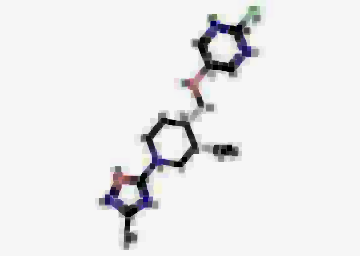 CO[C@@H]1CN(c2nc(C(C)C)no2)CC[C@@H]1COc1cnc(Cl)nc1